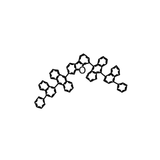 c1ccc(-c2ccc(-c3c4ccccc4c(-c4ccc5c(c4)oc4c(-c6c7ccccc7c(-c7ccc(-c8ccccc8)c8ccccc78)c7ccccc67)cccc45)c4ccccc34)c3ccccc23)cc1